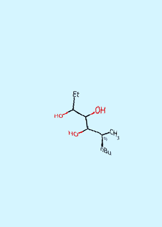 CCCC[C@H](C)C(O)C(O)C(O)CC